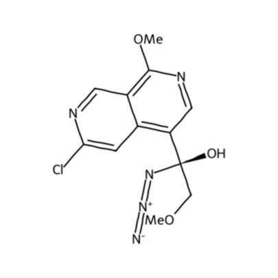 COC[C@](O)(N=[N+]=[N-])c1cnc(OC)c2cnc(Cl)cc12